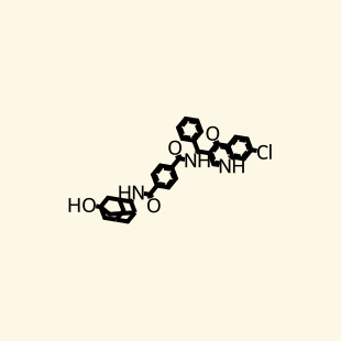 O=C(NC(c1ccccc1)c1c[nH]c2cc(Cl)ccc2c1=O)c1ccc(C(=O)NC2C3CC4CC2CC(O)(C4)C3)cc1